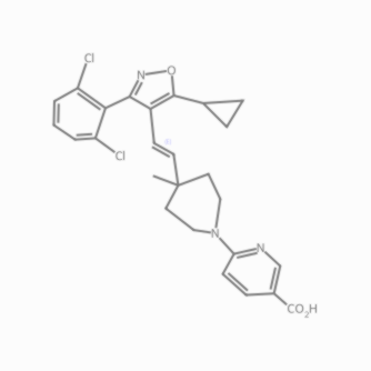 CC1(/C=C/c2c(-c3c(Cl)cccc3Cl)noc2C2CC2)CCN(c2ccc(C(=O)O)cn2)CC1